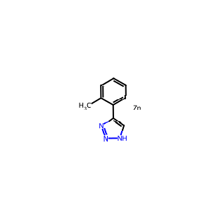 Cc1ccccc1-c1c[nH]nn1.[Zn]